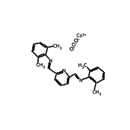 Cc1cccc(C)c1N=Cc1cccc(C=Nc2c(C)cccc2C)n1.[Cl-].[Cl-].[Cl-].[Co+3]